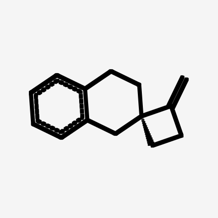 C=C1CC[C@]12CCc1ccccc1C2